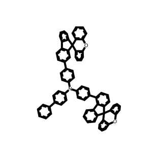 c1ccc(-c2ccc(N(c3ccc(-c4ccc5c(c4)C4(c6ccccc6Oc6ccccc64)c4ccccc4-5)cc3)c3ccc(-c4cccc5c4-c4ccccc4C54c5ccccc5Oc5ccccc54)cc3)cc2)cc1